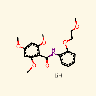 COCCOc1ccccc1PC(=O)c1c(OC)cc(OC)cc1OC.[LiH]